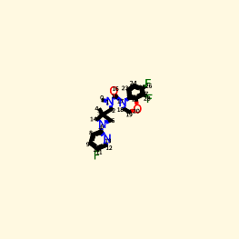 CN(CC1(C)CN(c2ccc(F)cn2)C1)C(=O)N1CCOc2c1ccc(F)c2F